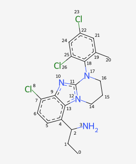 CCC(N)c1ccc(Cl)c2nc3n(c12)CCCN3c1c(C)cc(Cl)cc1Cl